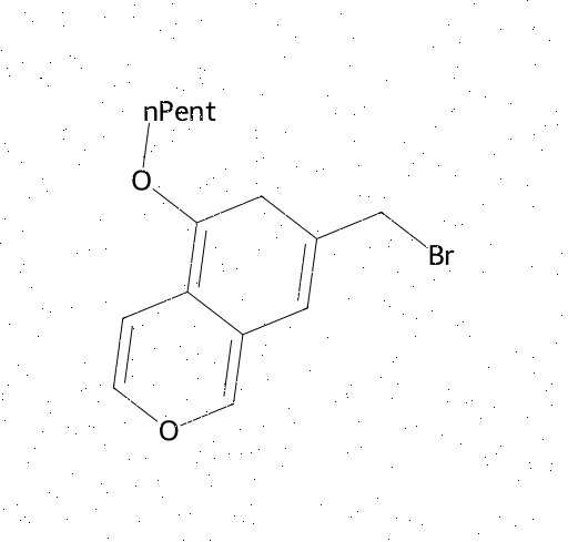 CCCCCOC1=C2C=COC=C2C=C(CBr)C1